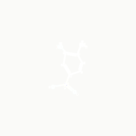 Bc1ccc([N+](=O)[O-])cc1O